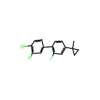 CC1(c2ccc(-c3ccc(Cl)c(Cl)c3)c(F)c2)CC1